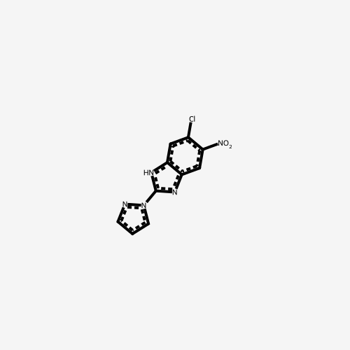 O=[N+]([O-])c1cc2nc(-n3cccn3)[nH]c2cc1Cl